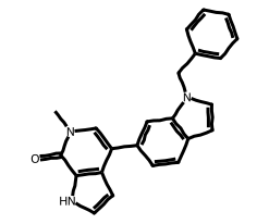 Cn1cc(-c2ccc3ccn(Cc4ccccc4)c3c2)c2cc[nH]c2c1=O